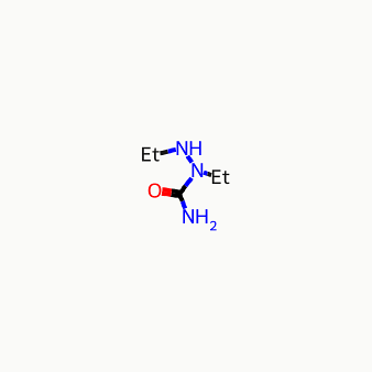 CCNN(CC)C(N)=O